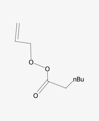 C=CCOOC(=O)CCCCC